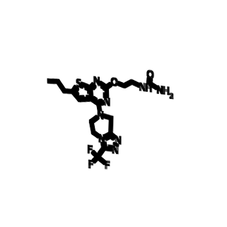 CCCc1cc2c(N3CCn4c(nnc4C(F)(F)F)C3)nc(OCCNC(N)=O)nc2s1